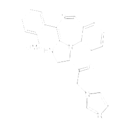 COc1ccccc1C1=C2NCC(C(=O)Cn3ccnc3)N2c2ccccc2C=N1